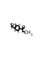 CCC(=O)C1C=CC(CS)=CC1